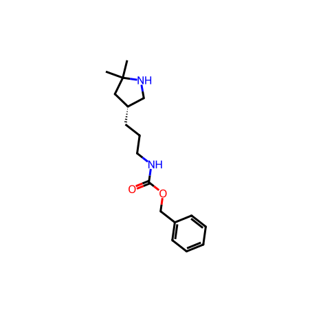 CC1(C)C[C@@H](CCCNC(=O)OCc2ccccc2)CN1